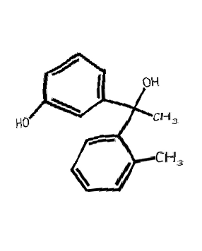 Cc1ccccc1C(C)(O)c1cccc(O)c1